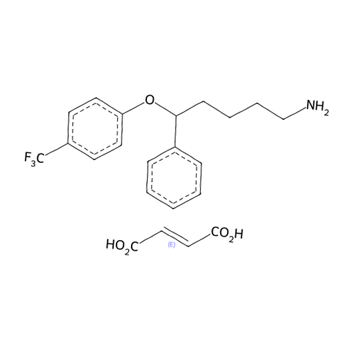 NCCCCC(Oc1ccc(C(F)(F)F)cc1)c1ccccc1.O=C(O)/C=C/C(=O)O